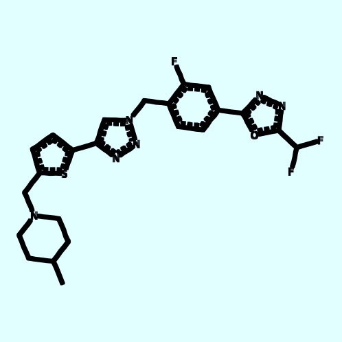 CC1CCN(Cc2ccc(-c3cn(Cc4ccc(-c5nnc(C(F)F)o5)cc4F)nn3)s2)CC1